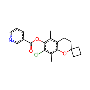 Cc1c2c(c(C)c(Cl)c1OC(=O)c1cccnc1)OC1(CCC1)CC2